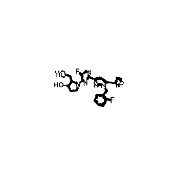 OCC1[C@H](O)CCN1c1nc(-c2cc(-c3ccon3)n(Cc3ccccc3F)n2)ncc1F